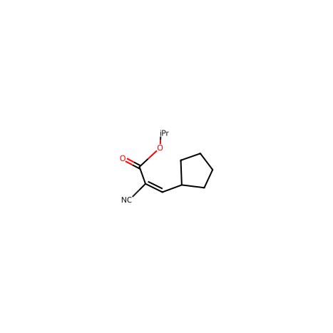 CC(C)OC(=O)C(C#N)=CC1CCCC1